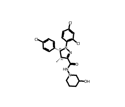 C[C@H]1C(C(=O)NN2CCCC(O)C2)=NN(c2ccc(Cl)cc2Cl)[C@H]1c1ccc(Cl)cc1